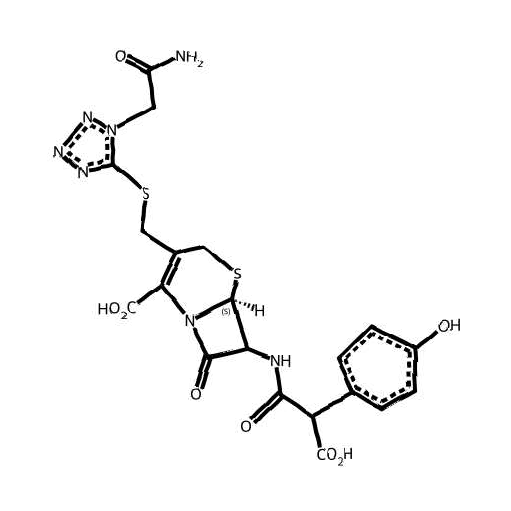 NC(=O)Cn1nnnc1SCC1=C(C(=O)O)N2C(=O)C(NC(=O)C(C(=O)O)c3ccc(O)cc3)[C@@H]2SC1